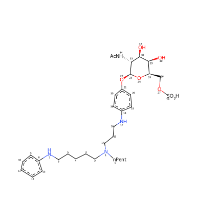 CCCCCN(CCCCCNc1ccccc1)CCCNc1ccc(O[C@@H]2O[C@H](COS(=O)(=O)O)[C@H](O)[C@H](O)[C@H]2NC(C)=O)cc1